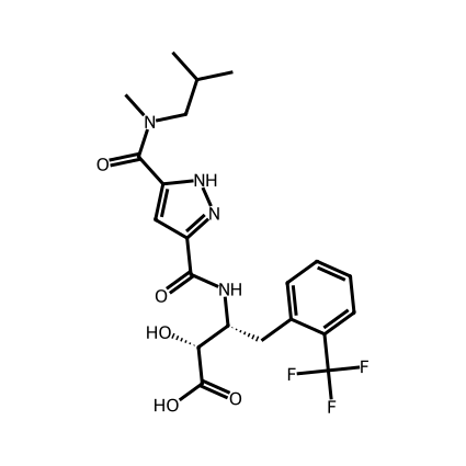 CC(C)CN(C)C(=O)c1cc(C(=O)N[C@H](Cc2ccccc2C(F)(F)F)[C@@H](O)C(=O)O)n[nH]1